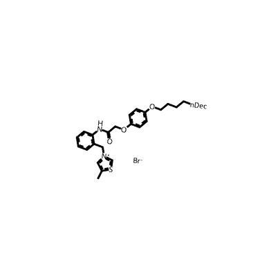 CCCCCCCCCCCCCCOc1ccc(OCC(=O)Nc2ccccc2C[n+]2csc(C)c2)cc1.[Br-]